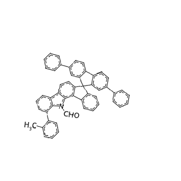 Cc1ccccc1-c1cccc2c3ccc4c(c3n(C=O)c12)-c1ccccc1C41c2cc(-c3ccccc3)ccc2-c2ccc(-c3ccccc3)cc21